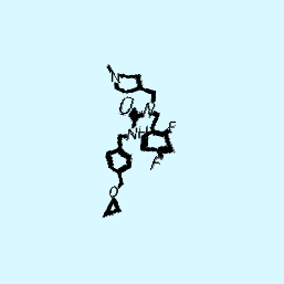 CN1CCC(CN(Cc2ccc(F)cc2F)C(=O)NCc2ccc(COC3CC3)cc2)CC1